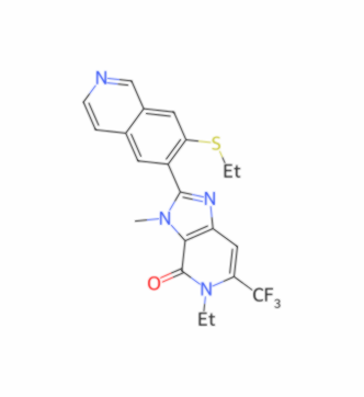 CCSc1cc2cnccc2cc1-c1nc2cc(C(F)(F)F)n(CC)c(=O)c2n1C